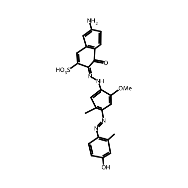 COc1cc(/N=N/c2ccc(O)cc2C)c(C)cc1N/N=C1\C(=O)c2ccc(N)cc2C=C1S(=O)(=O)O